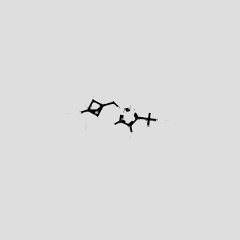 CCOC(=O)c1c(C)c(C(C)(F)F)nn1CC12CC(C(F)(F)F)(C1)C2